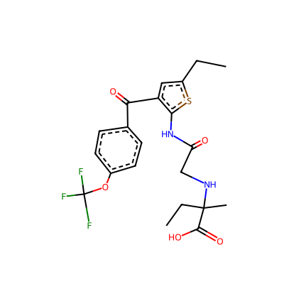 CCc1cc(C(=O)c2ccc(OC(F)(F)F)cc2)c(NC(=O)CNC(C)(CC)C(=O)O)s1